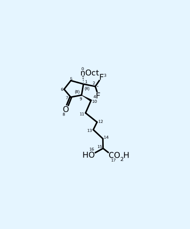 CCCCCCCC[C@@]1([C](F)F)CCC(=O)[C@@H]1CCCCCC(O)C(=O)O